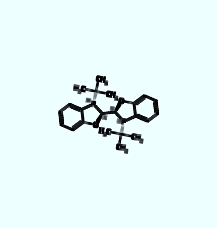 CC(C)(C)[P@@]1c2ccccc2O[C@@H]1[C@H]1Oc2ccccc2[P@]1C(C)(C)C